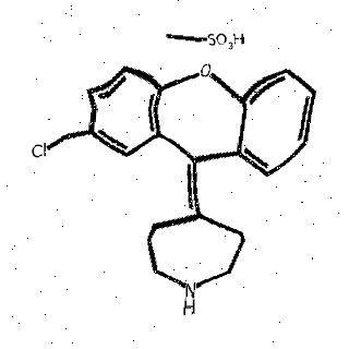 CS(=O)(=O)O.Clc1ccc2c(c1)C(=C1CCNCC1)c1ccccc1O2